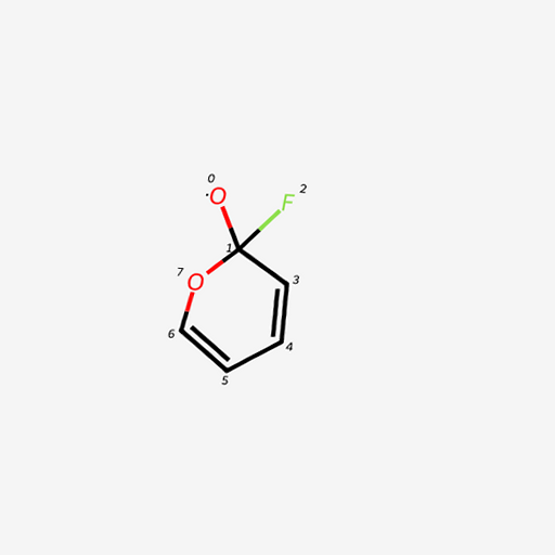 [O]C1(F)C=CC=CO1